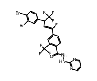 O=C(NNc1ncccn1)c1ccc(/C(F)=C/C(c2ccc(Br)c(Br)c2)C(F)(F)F)cc1C(F)(F)F